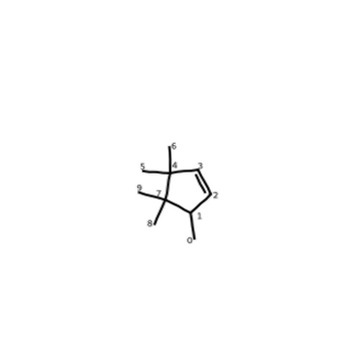 CC1C=CC(C)(C)C1(C)C